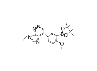 CCn1cnc2c(-c3ccc(OC)c(B4OC(C)(C)C(C)(C)O4)c3)cnnc21